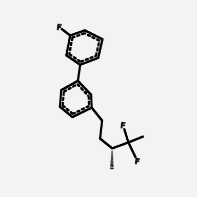 C[C@H](CCc1cccc(-c2cccc(F)c2)c1)C(C)(F)F